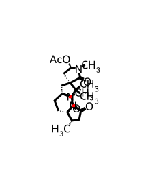 CC(=O)O[C@@H]1C[C@]2(C[C@@]34CC[C@]5(C(=O)N3C)[C@@H](C)CC(=O)N5C4C2(C)C)C(=O)N1C